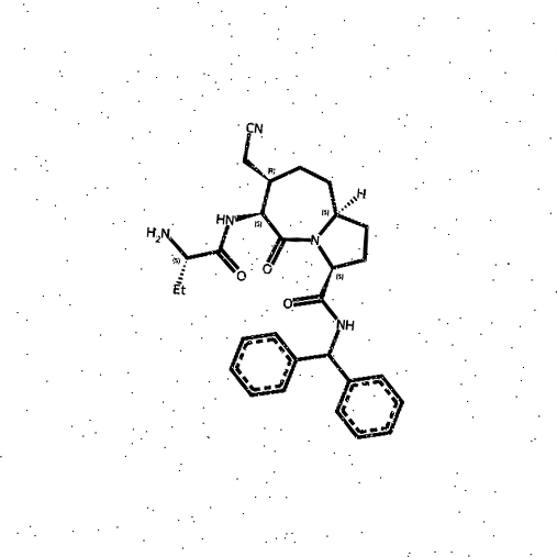 CC[C@H](N)C(=O)N[C@@H]1C(=O)N2[C@@H](CC[C@@H]1CC#N)CC[C@H]2C(=O)NC(c1ccccc1)c1ccccc1